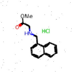 COC(=O)CNCc1cccc2ccccc12.Cl